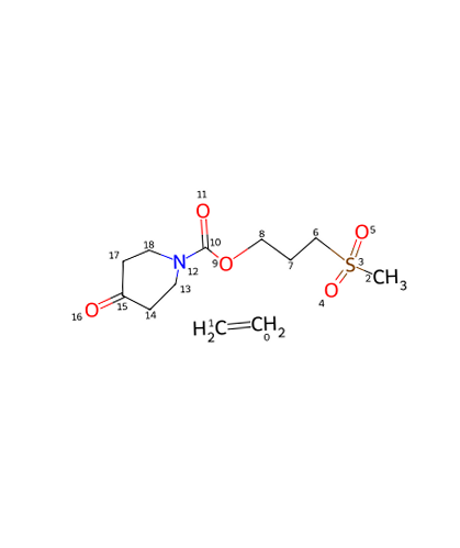 C=C.CS(=O)(=O)CCCOC(=O)N1CCC(=O)CC1